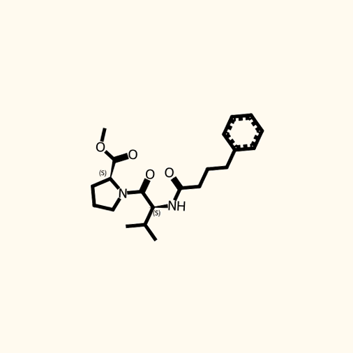 COC(=O)[C@@H]1CCCN1C(=O)[C@@H](NC(=O)CCCc1ccccc1)C(C)C